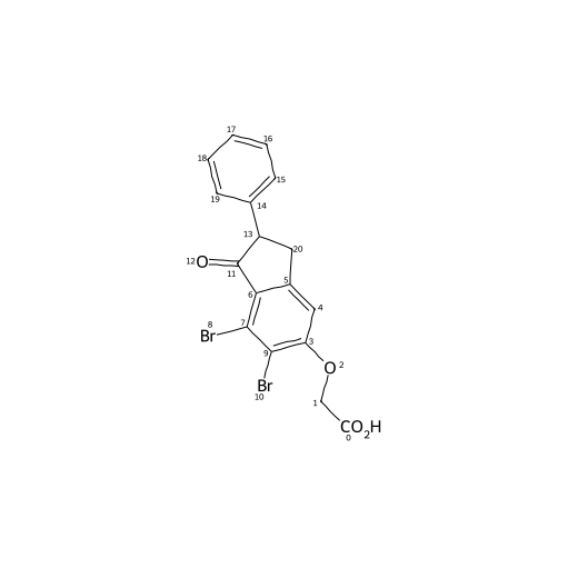 O=C(O)COc1cc2c(c(Br)c1Br)C(=O)C(c1ccccc1)C2